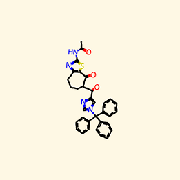 CC(=O)Nc1nc2c(s1)C(=O)C(C(=O)c1cn(C(c3ccccc3)(c3ccccc3)c3ccccc3)cn1)CCC2